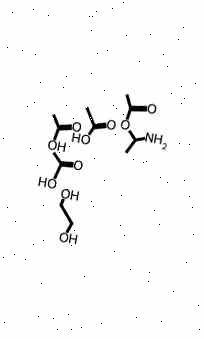 CC(=O)O.CC(=O)O.CC(=O)O.CC(=O)OC(C)N.OCCO